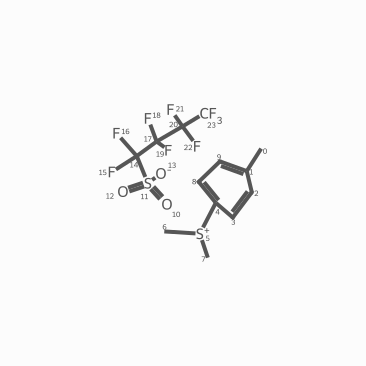 Cc1ccc([S+](C)C)cc1.O=S(=O)([O-])C(F)(F)C(F)(F)C(F)(F)C(F)(F)F